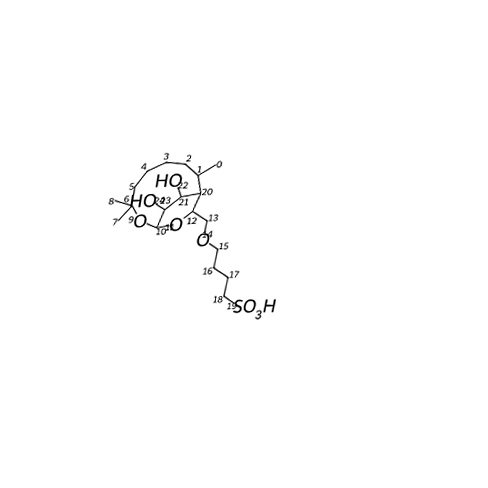 CC1CCCCC(C)(C)OC2OC(COCCCCS(=O)(=O)O)C1C(O)C2O